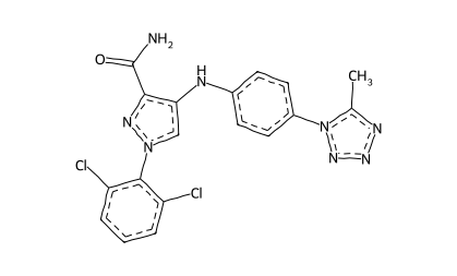 Cc1nnnn1-c1ccc(Nc2cn(-c3c(Cl)cccc3Cl)nc2C(N)=O)cc1